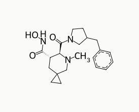 CN1CC2(CC2)C[C@H](C(=O)NO)[C@H]1C(=O)N1CCC(Cc2ccccc2)C1